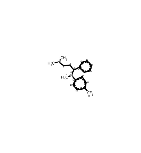 CN(C)CCC(c1ccccc1)N(C)c1ccc(C(F)(F)F)cc1